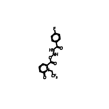 O=C(NNOC(=O)c1cccc(=O)n1CC(F)(F)F)c1ccc(F)cc1